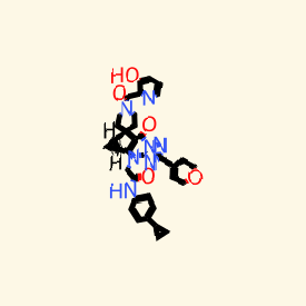 O=C(Cn1c2c(c(=O)n3nc(C4=CCOCC4)nc13)C1(CCN(C(=O)c3ncccc3O)CC1)[C@@H]1C[C@H]21)Nc1ccc(C2CC2)cc1